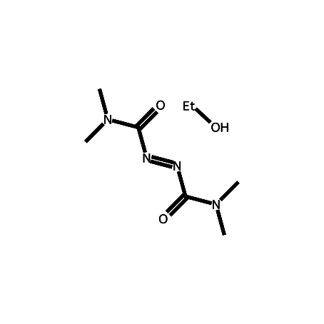 CCO.CN(C)C(=O)N=NC(=O)N(C)C